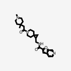 CN1CCC(C)(CC(=O)N2CCC3(CC2)CC3CNC(=O)c2cc3ccncc3o2)CC1